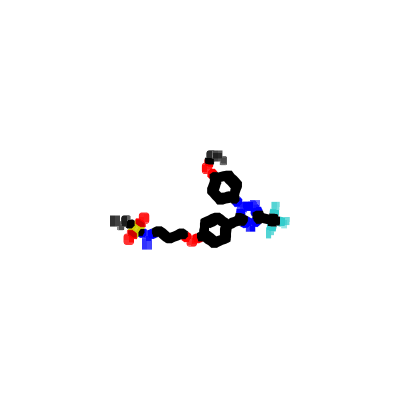 COc1ccc(-n2nc(C(F)(F)F)nc2-c2ccc(OCCCNS(C)(=O)=O)cc2)cc1